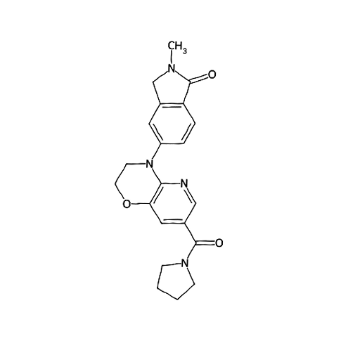 CN1Cc2cc(N3CCOc4cc(C(=O)N5CCCC5)cnc43)ccc2C1=O